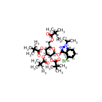 CC(C)n1nc(O[C@@H]2O[C@H](COC(=O)C(C)(C)C)[C@@H](OC(=O)C(C)(C)C)[C@H](OC(=O)C(C)(C)C)[C@H]2OC(=O)C(C)(C)C)c2c(Br)cccc21